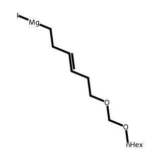 CCCCCCOCOCC/C=C/C[CH2][Mg][I]